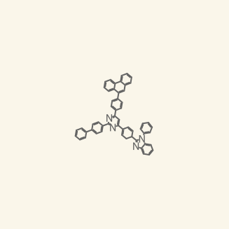 C1=CC(c2nc3ccccc3n2-c2ccccc2)CC=C1c1cc(-c2ccc(-c3cc4ccccc4c4ccccc34)cc2)nc(-c2ccc(-c3ccccc3)cc2)n1